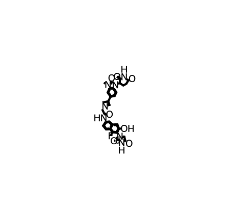 Cn1c(=O)n(C2CCC(=O)NC2=O)c2ccc(C3CN(CC(=O)Nc4ccc5c(F)c(N6CC(=O)N[S+]6[O-])c(O)cc5c4)C3)cc21